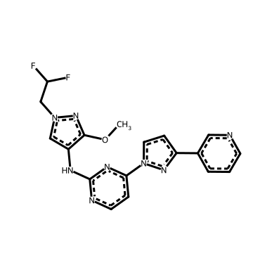 COc1nn(CC(F)F)cc1Nc1nccc(-n2ccc(-c3cccnc3)n2)n1